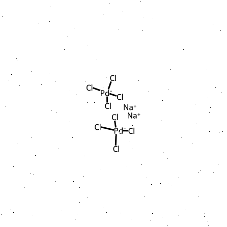 [Cl][Pd-]([Cl])([Cl])[Cl].[Cl][Pd-]([Cl])([Cl])[Cl].[Na+].[Na+]